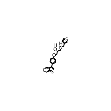 O[C@H](CNCc1ccsc1)COc1ccc(-c2csc3cocc23)cc1